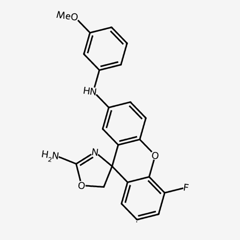 COc1cccc(Nc2ccc3c(c2)C2(COC(N)=N2)c2c[c]cc(F)c2O3)c1